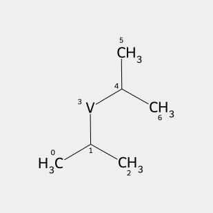 C[CH](C)[V][CH](C)C